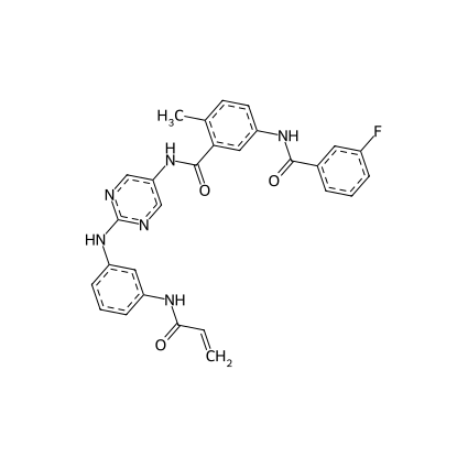 C=CC(=O)Nc1cccc(Nc2ncc(NC(=O)c3cc(NC(=O)c4cccc(F)c4)ccc3C)cn2)c1